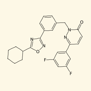 O=c1ccc(-c2cc(F)cc(F)c2)nn1Cc1cccc(-c2noc(C3CCCCC3)n2)c1